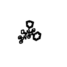 O=C(N=S(=O)=O)N(c1ccccc1)S(=O)(=O)c1ccccc1